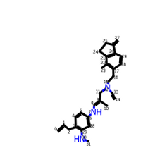 C=CCc1ccc(N/C=C(\C)CN(C=C)CCc2ccc3c(c2C)CCC3=C)cc1NC